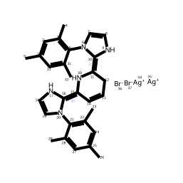 Cc1cc(C)c(N2C=CN/C2=C2\CC=C/C(=C3/NC=CN3c3c(C)cc(C)cc3C)N2)c(C)c1.[Ag+].[Ag+].[Br-].[Br-]